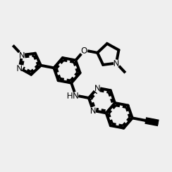 C#Cc1ccc2nc(Nc3cc(OC4CCN(C)C4)cc(-c4cnn(C)c4)c3)ncc2c1